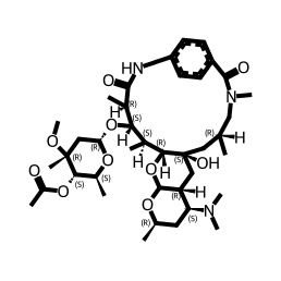 CO[C@]1(C)C[C@H](O[C@H]2[C@H](C)[C@H]3OC4O[C@H](C)C[C@H](N(C)C)[C@H]4C[C@@]3(O)C[C@@H](C)CN(C)C(=O)c3ccc(cc3)NC(=O)[C@@H]2C)O[C@@H](C)[C@@H]1OC(C)=O